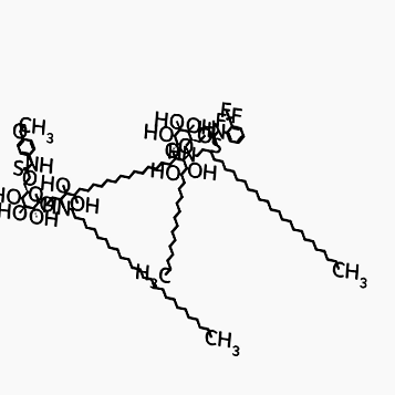 CCCCCCCCCCCCCCCCCCCCCCCCCCNC(CO[C@H]1O[C@H](COC(=S)Nc2ccc(OC)cc2)[C@H](O)[C@H](O)[C@H]1O)C(O)C(O)CCCCCCCCCCCCCCC(O[C@H]1O[C@H](COC(=S)Nc2ccccc2C(F)(F)F)[C@H](O)[C@H](O)[C@H]1O)[C@@H](NCCCCCCCCCCCCCCCCCCCCCCCCCC)[C@H](O)[C@H](O)CCCCCCCCCCCCCC